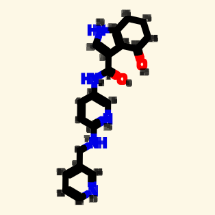 O=C(Nc1ccc(NCc2cccnc2)nc1)c1c[nH]c2c1C(=O)CCC2